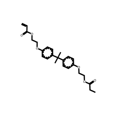 C=CC(=O)OCCOc1ccc(C(C)(C)c2ccc(OCCOC(=O)CC)cc2)cc1